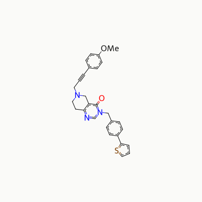 COc1ccc(C#CCN2CCc3ncn(Cc4ccc(-c5cccs5)cc4)c(=O)c3C2)cc1